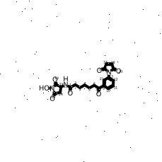 O=C(CCCCCC(=O)c1cccc(N2C(=O)C=CC2=O)c1)NC1CC(=O)N(O)C1=O